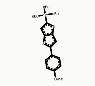 CCC[CH2][Sn]([CH2]CCC)([CH2]CCC)[c]1cc2sc(-c3ccc(OC)cc3)cc2s1